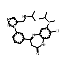 CC(C)NCc1cnnn1-c1cccc(C2=Nc3cc(N(C)C(C)C)c(Cl)cc3NC(=O)C2)c1